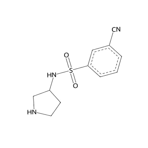 N#Cc1cccc(S(=O)(=O)NC2CCNC2)c1